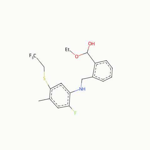 CCOC(O)c1ccccc1CNc1cc(SCC(F)(F)F)c(C)cc1F